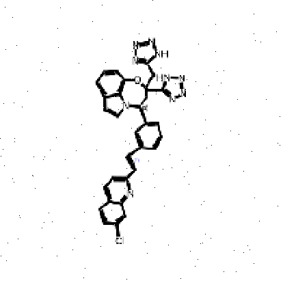 Clc1ccc2ccc(/C=C/c3cccc([C@H](CCCc4nnn[nH]4)n4ccc5cccc(OCc6nnn[nH]6)c54)c3)nc2c1